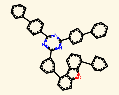 c1ccc(-c2ccc(-c3nc(-c4ccc(-c5ccccc5)cc4)nc(-c4cccc(-c5cccc6oc7c(-c8ccccc8)cccc7c56)c4)n3)cc2)cc1